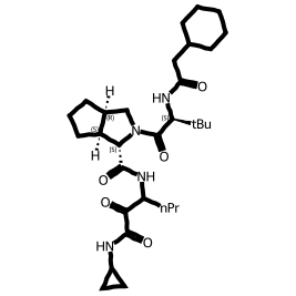 CCCC(NC(=O)[C@@H]1[C@H]2CCC[C@H]2CN1C(=O)[C@@H](NC(=O)CC1CCCCC1)C(C)(C)C)C(=O)C(=O)NC1CC1